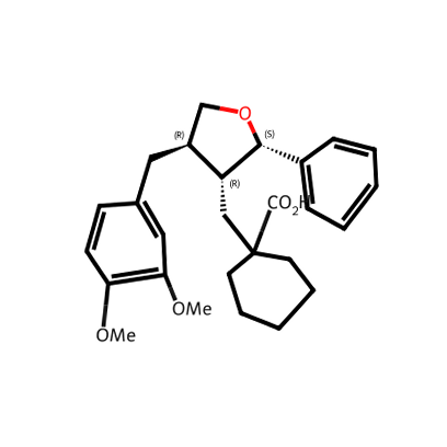 COc1ccc(C[C@H]2CO[C@H](c3ccccc3)[C@@H]2CC2(C(=O)O)CCCCC2)cc1OC